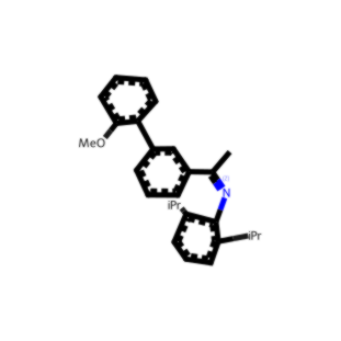 COc1ccccc1-c1cccc(/C(C)=N\c2c(C(C)C)cccc2C(C)C)c1